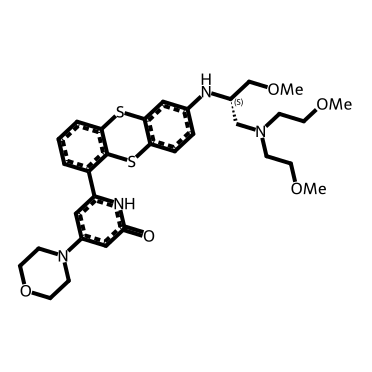 COCCN(CCOC)C[C@@H](COC)Nc1ccc2c(c1)Sc1cccc(-c3cc(N4CCOCC4)cc(=O)[nH]3)c1S2